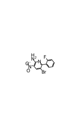 Nc1nc(-c2ccccc2F)c(Br)cc1[N+](=O)[O-]